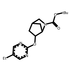 CCc1cnc(OC2CC3CC2N(C(=O)OC(C)(C)C)C3)nc1